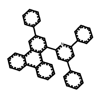 c1ccc(-c2cc(-c3ccccc3)nc(-c3cc(-c4ccccc4)cc4c5ccccc5c5ccccc5c34)c2)cc1